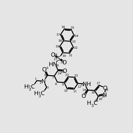 CCN(CC)C(=O)C(Cc1ccc(NC(=O)c2conc2C)cc1)C(=O)NS(=O)(=O)c1ccc2ccccc2c1